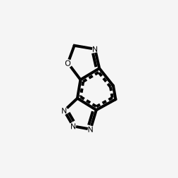 c1cc2c(c3c1=NN=N3)OCN=2